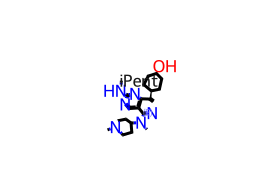 C=C(c1nc(NC(C)CCC)ncc1/C(=N\C)N(C)C1CCN(C)CC1)[C@H]1CC[C@H](O)CC1